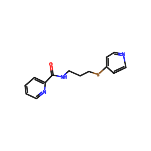 O=C(NCCCSc1ccncc1)c1ccccn1